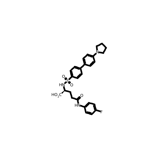 O=C(CC[C@H](NS(=O)(=O)c1ccc(-c2ccc(N3CCCC3)cc2)cc1)C(=O)O)Nc1ccc(F)cc1